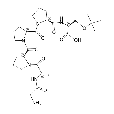 C[C@H](NC(=O)CN)C(=O)N1CCC[C@H]1C(=O)N1CCC[C@H]1C(=O)N1CCC[C@H]1C(=O)N[C@@H](COC(C)(C)C)C(=O)O